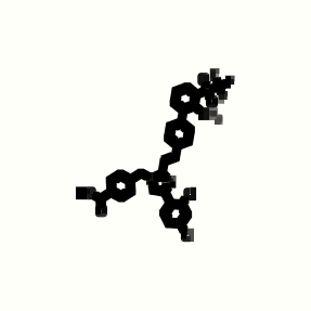 Nc1c(-c2ccc(C=Cc3nc(-c4ccc(Cl)cc4Cl)cn3Cc3ccc(C(=O)O)cc3)cc2)cccc1S(=O)(=O)C(F)(F)F